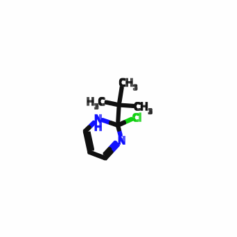 CC(C)(C)C1(Cl)N=CC=CN1